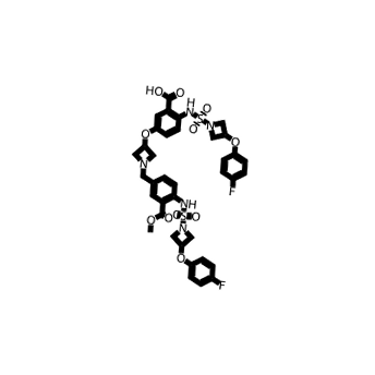 COC(=O)c1cc(CN2CC(Oc3ccc(NS(=O)(=O)N4CC(Oc5ccc(F)cc5)C4)c(C(=O)O)c3)C2)ccc1NS(=O)(=O)N1CC(Oc2ccc(F)cc2)C1